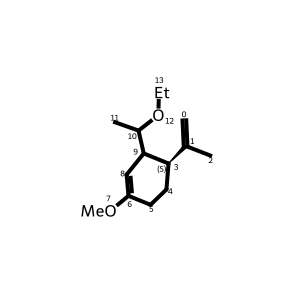 C=C(C)[C@H]1CCC(OC)=CC1C(C)OCC